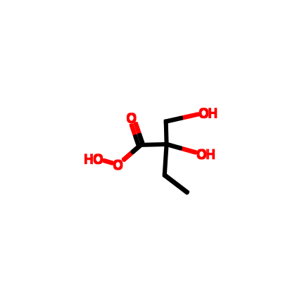 CCC(O)(CO)C(=O)OO